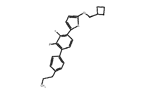 CCCc1ccc(-c2ccc(-c3ccc(OCC4CCC4)s3)c(F)c2F)cc1